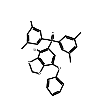 Cc1cc(C)cc(P(=O)(c2cc(C)cc(C)c2)c2cc(Oc3ccccc3)c3c(c2Br)OCO3)c1